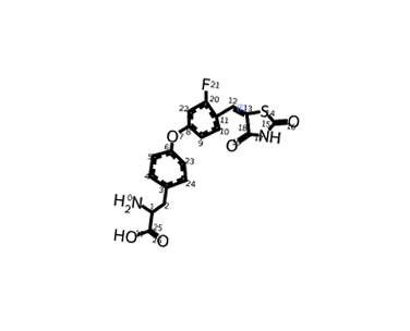 NC(Cc1ccc(Oc2ccc(/C=C3/SC(=O)NC3=O)c(F)c2)cc1)C(=O)O